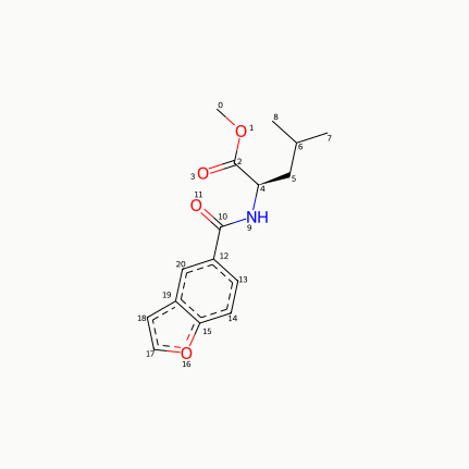 COC(=O)[C@@H](CC(C)C)NC(=O)c1ccc2occc2c1